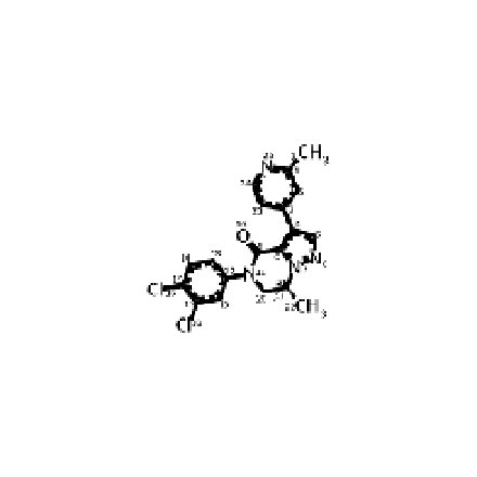 Cc1cc(-c2cnn3c2C(=O)N(c2ccc(Cl)c(Cl)c2)C[C@@H]3C)ccn1